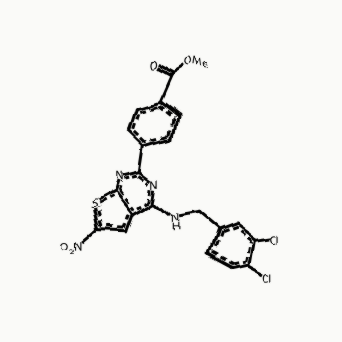 COC(=O)c1ccc(-c2nc(NCc3ccc(Cl)c(Cl)c3)c3cc([N+](=O)[O-])sc3n2)cc1